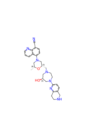 C[C@@H]1CN(c2ccc(C#N)c3ncccc23)C[C@H](CN2CCN(c3ccc4c(n3)CCNC4)C[C@@H](O)C2)O1